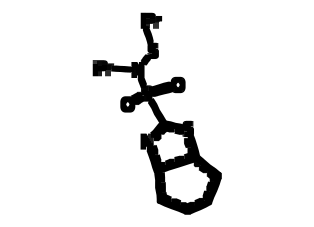 CC(C)SN(C(C)C)S(=O)(=O)c1nc2ccccc2s1